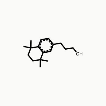 CC1(C)CCC(C)(C)c2cc(CCCO)ccc21